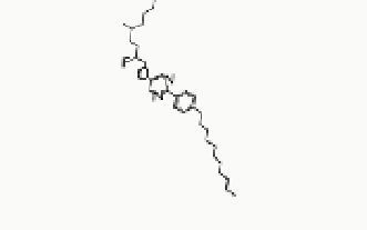 CCCCCCCCCCCc1ccc(-c2ncc(OCC(F)CCC(C)CCCCC)cn2)cc1